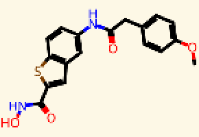 COc1ccc(CC(=O)Nc2ccc3sc(C(=O)NO)cc3c2)cc1